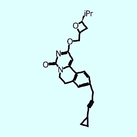 CC(C)[C@H]1CC(COc2cc3n(c(=O)n2)CCc2cc(CC#CC4CC4)ccc2-3)O1